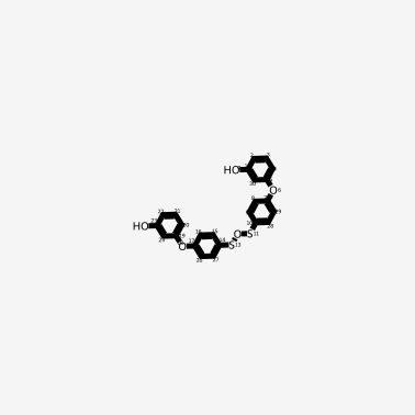 Oc1cccc(Oc2ccc(SOSc3ccc(Oc4cccc(O)c4)cc3)cc2)c1